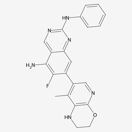 Cc1c(-c2cc3nc(Nc4ccccc4)ncc3c(N)c2F)cnc2c1NCCO2